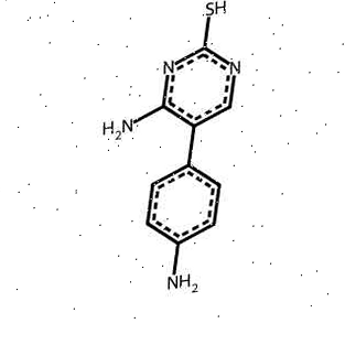 Nc1ccc(-c2cnc(S)nc2N)cc1